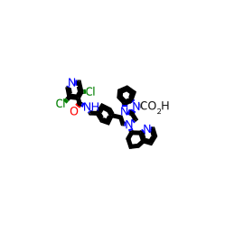 O=C(NCc1ccc(CCN(Cc2nc3ccccc3n2C(=O)O)C2CCCc3cccnc32)cc1)c1c(Cl)cncc1Cl